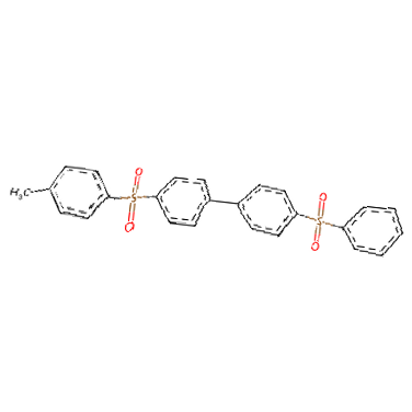 Cc1ccc(S(=O)(=O)c2ccc(-c3ccc(S(=O)(=O)c4ccccc4)cc3)cc2)cc1